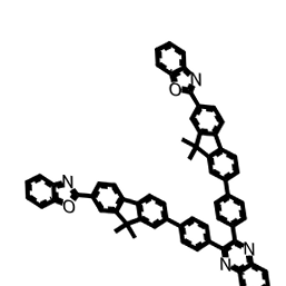 CC1(C)c2cc(-c3ccc(-c4nc5ccccc5nc4-c4ccc(-c5ccc6c(c5)C(C)(C)c5cc(-c7nc8ccccc8o7)ccc5-6)cc4)cc3)ccc2-c2ccc(-c3nc4ccccc4o3)cc21